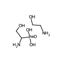 NC(CO)P(=O)(O)O.NCCO